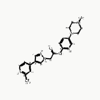 CC(=O)N1CCN(c2ccc(NC(=O)Cn3cc(-c4ccnc(C(F)(F)F)c4)cn3)nc2)CC1